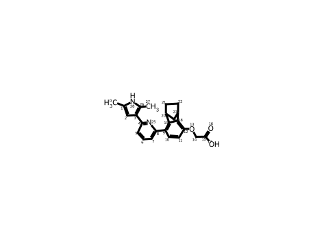 Cc1cc(-c2cccc(-c3ccc(OCC(=O)O)c4c3C3CCC4C3)n2)c(C)[nH]1